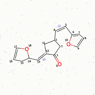 O=C1CC(/C=C\c2ccco2)C/C1=C\C1CC=CO1